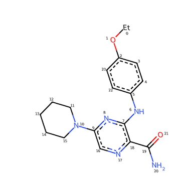 CCOc1ccc(Nc2nc(N3CCCCC3)cnc2C(N)=O)cc1